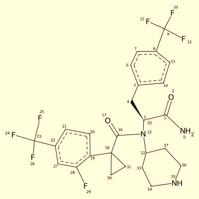 NC(=O)[C@H](Cc1ccc(C(F)(F)F)cc1)N(C(=O)C1(c2ccc(C(F)(F)F)cc2F)CC1)C1CCNCC1